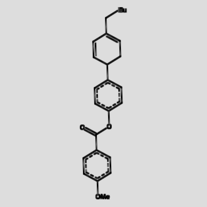 CCC(C)CC1=CCC(c2ccc(OC(=O)c3ccc(OC)cc3)cc2)C=C1